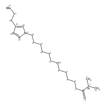 C[SH](C)C(=O)CCCCCOCCCCCCn1cc(CCC(C)(C)C)nn1